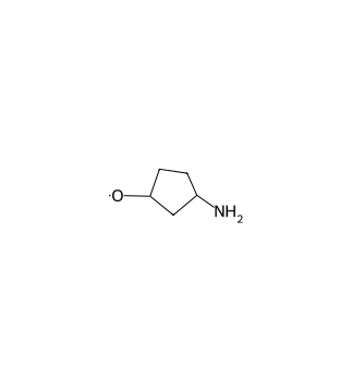 NC1CCC([O])C1